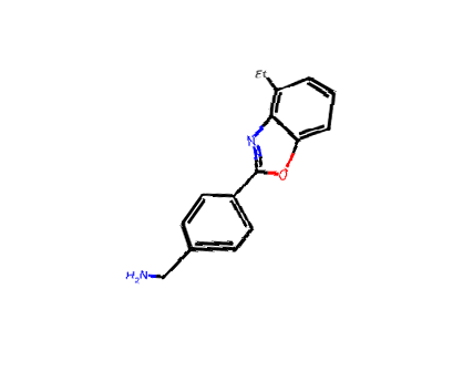 CCc1cccc2oc(-c3ccc(CN)cc3)nc12